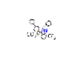 O=C(O)C1(c2c3cccc(C(F)(F)F)c3nn2Cc2ccccc2)C=CC(c2ccccc2)C=C1